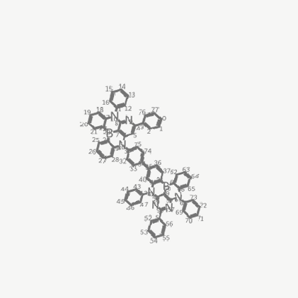 c1ccc(-c2cc3c4c(n2)N(c2ccccc2)c2ccccc2B4c2ccccc2N3c2ccc(-c3ccc4c(c3)N(c3ccccc3)c3nc(-c5ccccc5)nc5c3B4c3ccccc3N5c3ccccc3)cc2)cc1